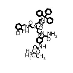 CC(C)(C)OC(=O)Nc1ccc2c(c1)c(C(N)=O)nn2CC(=O)N(CC(=O)NCc1cccc(Cl)c1F)Cc1cn(C(c2ccccc2)(c2ccccc2)c2ccccc2)cn1